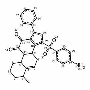 CC1CCCC2C1=CCC1c3c(c(-c4ccccc4)cn3S(=O)(=O)c3ccc(N)cc3)C(=O)C(=O)C21